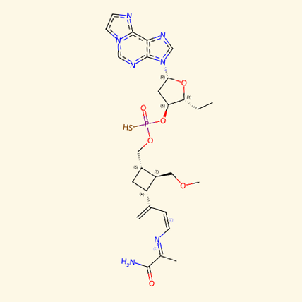 C=C(/C=C\N=C(/C)C(N)=O)[C@@H]1C[C@H](COP(=O)(S)O[C@H]2C[C@H](n3cnc4c3ncn3ccnc43)O[C@@H]2CC)[C@H]1COC